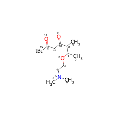 CC(OCCN(C)C)C(C)C(=O)CC(=O)C(C)(C)C